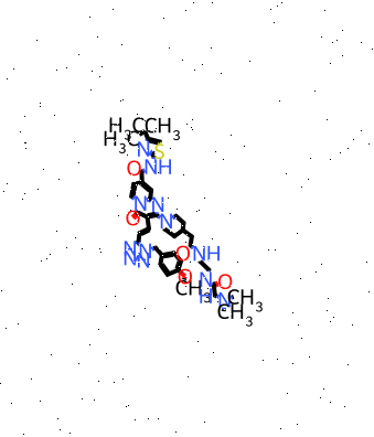 COc1ccc(Cn2nnnc2C=Cc2c(N3CCC(CC(=O)NCCNC(=O)CN(C)C)CC3)nc3cc(C(=O)Nc4nc(C(C)(C)C)cs4)ccn3c2=O)cc1